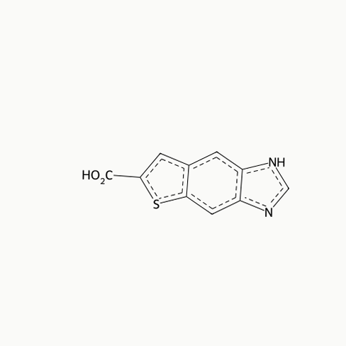 O=C(O)c1cc2cc3[nH]cnc3cc2s1